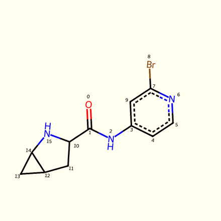 O=C(Nc1ccnc(Br)c1)C1CC2CC2N1